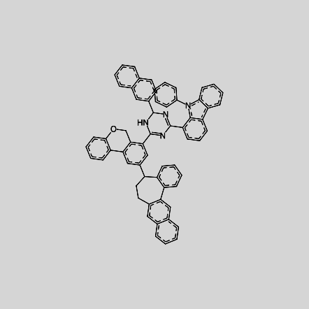 c1ccc(-n2c3ccccc3c3cccc(C4=NC(c5ccc6ccccc6c5)NC(c5cc(C6CCc7cc8ccccc8cc7-c7ccccc76)cc6c5COc5ccccc5-6)=N4)c32)cc1